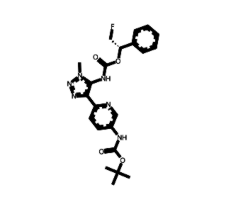 Cn1nnc(-c2ccc(NC(=O)OC(C)(C)C)cn2)c1NC(=O)O[C@H](CF)c1ccccc1